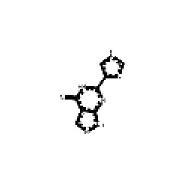 O=c1[nH]c(-c2c[nH]cn2)nc2[nH]ncc12